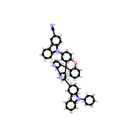 N#Cc1ccc2c(c1)c1ccccc1n2-c1ccc2c(c1)C1(c3ccccc3O2)c2cccnc2-c2ncc(-c3ccc4c(c3)c3ccccc3n4-c3ccccc3)cc21